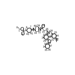 CCOC(=O)c1ccc(N2CCN(C(=O)CCN(Cc3ccc(F)cc3)c3cccc(Oc4ccccc4)c3)CC2)cc1